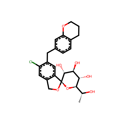 C[C@@H](O)[C@H]1O[C@]2(OCc3cc(Cl)c(Cc4ccc5c(c4)OCCC5)cc32)[C@H](O)[C@@H](O)[C@@H]1O